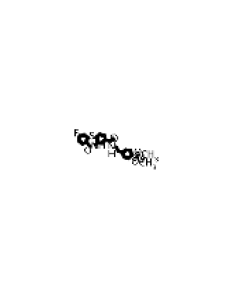 CN(C)S(=O)(=O)c1ccc(CCNC(=O)c2ccc3c(c2)NC(=O)c2ccc(F)cc2S3)cc1